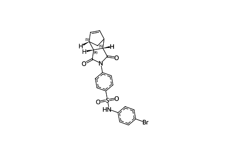 O=C1[C@@H]2[C@@H]3C=CC(C3)[C@@H]2C(=O)N1c1ccc(S(=O)(=O)Nc2ccc(Br)cc2)cc1